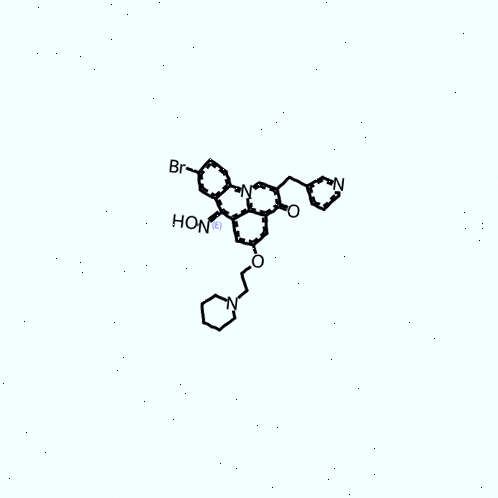 O=c1c(Cc2cccnc2)cn2c3ccc(Br)cc3/c(=N\O)c3cc(OCCN4CCCCC4)cc1c32